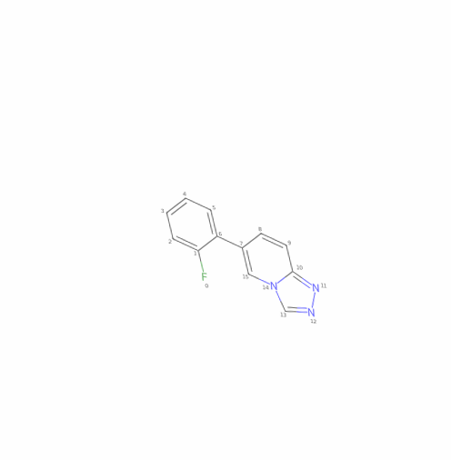 Fc1ccccc1-c1ccc2nncn2c1